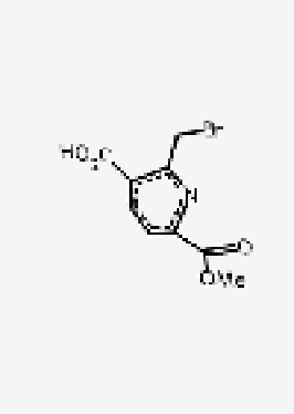 COC(=O)c1ccc(C(=O)O)c(CBr)n1